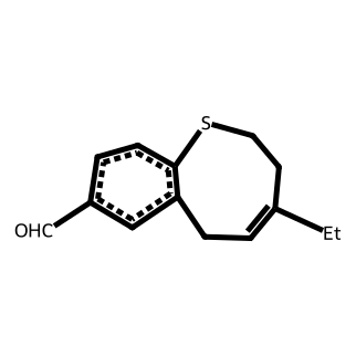 CC/C1=C/Cc2cc(C=O)ccc2SCC1